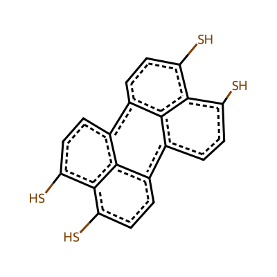 Sc1ccc2c3ccc(S)c4c(S)ccc(c5ccc(S)c1c25)c43